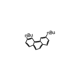 CCCCc1ccc2ccc3ccc(CCCC)cc3c2c1